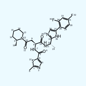 Cc1ncc(C(=O)N[C@@H](CC(=O)N2CCCC[C@@H]2C)C(=O)N[C@@H](C)c2ncc(-c3ccc(F)cc3F)[nH]2)s1